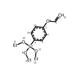 C=COc1ccc([Si](OCC)(OCC)OCC)cc1